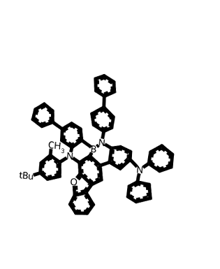 Cc1cc(C(C)(C)C)ccc1N1c2cc(-c3ccccc3)ccc2B2c3c(cc4c(oc5ccccc54)c31)-c1cc(N(c3ccccc3)c3ccccc3)ccc1N2c1ccc(-c2ccccc2)cc1